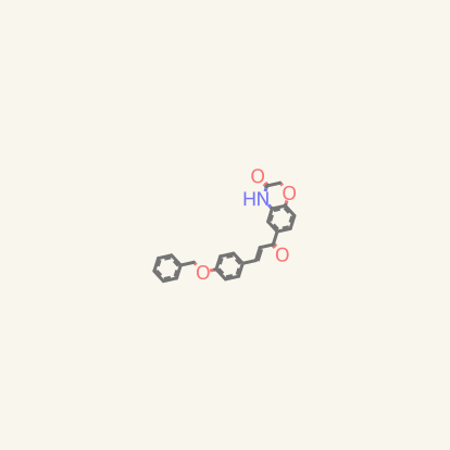 O=C1COc2ccc(C(=O)C=Cc3ccc(OCc4ccccc4)cc3)cc2N1